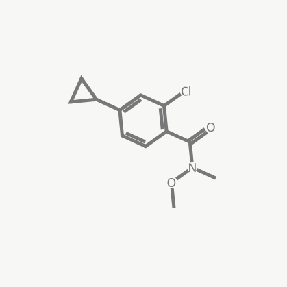 CON(C)C(=O)c1ccc(C2CC2)cc1Cl